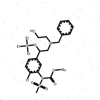 CC[Si](CC)(CC)OC(CN(CCO)Cc1ccccc1)c1ccc(Cl)c(N(C(=O)OC(C)(C)C)S(C)(=O)=O)c1